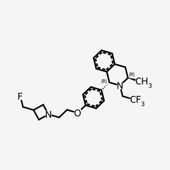 C[C@@H]1Cc2ccccc2[C@@H](c2ccc(OCCN3CC(CF)C3)cc2)N1CC(F)(F)F